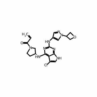 C=CC(=O)N1CC[C@@H](Nc2nc(Nc3cnn(C4COC4)c3)nc3[nH]cc(Cl)c23)C1